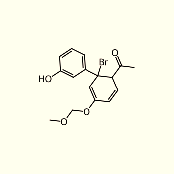 COCOC1=CC(Br)(c2cccc(O)c2)C(C(C)=O)C=C1